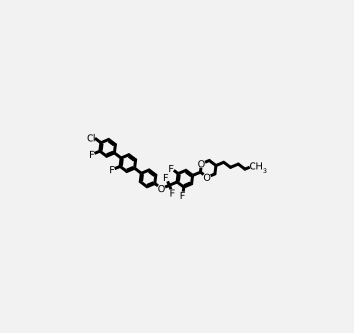 CCCCCC1COC(c2cc(F)c(C(F)(F)Oc3ccc(-c4ccc(-c5ccc(Cl)c(F)c5)c(F)c4)cc3)c(F)c2)OC1